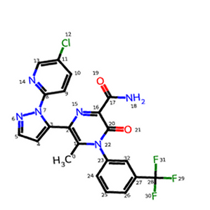 Cc1c(-c2ccnn2-c2ccc(Cl)cn2)nc(C(N)=O)c(=O)n1-c1cccc(C(F)(F)F)c1